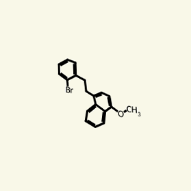 COc1ccc(CCc2ccccc2Br)c2ccccc12